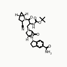 CC(C)(C)OC(=O)NC(CN1C[C@@H]2CC1C(=O)N2[C@H]1CCc2cc(C(N)=O)ccc21)C(=O)N1C(C#N)C[C@@H]2C[C@@H]21